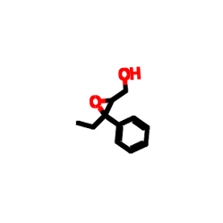 CCC1(c2ccccc2)OC1CO